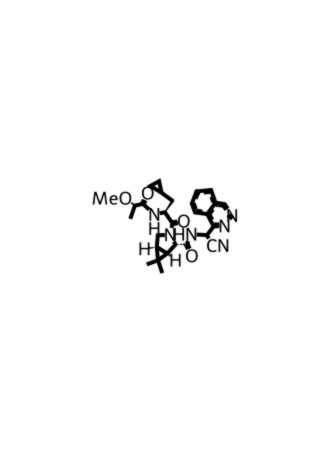 CO[C@@H](C)C(=O)N[C@@H](CC1CC1)C(=O)N1C[C@H]2[C@@H]([C@H]1C(=O)NC(C#N)c1nncc3ccccc13)C2(C)C